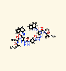 CN[C@@H](C)C(=O)N[C@H](C(=O)N1C[C@@H](NC(=O)Nc2ccc(NC(=O)N[C@H]3C[C@@H](C(=O)N[C@@H]4CCCc5ccccc54)N(C(=O)[C@@H](NC(=O)[C@H](C)NC)C(C)(C)C)C3)cc2)CC1C(=O)N[C@@H]1CCCc2ccccc21)C(C)(C)C